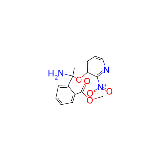 COC(=O)c1ccccc1C(C)(N)Oc1cccnc1[N+](=O)[O-]